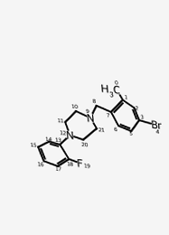 Cc1cc(Br)ccc1CN1CCN(c2ccccc2F)CC1